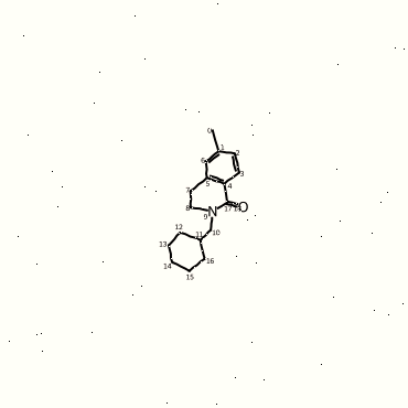 Cc1ccc2c(c1)CCN(CC1CCCCC1)C2=O